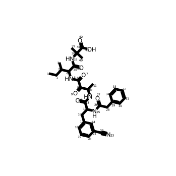 CCC(C)C(NC(=O)C(=O)C(C)NC(=O)C(Cc1cccc(C#N)c1)NC(=O)Cc1ccccc1)C(=O)NC(C)(C)C(=O)O